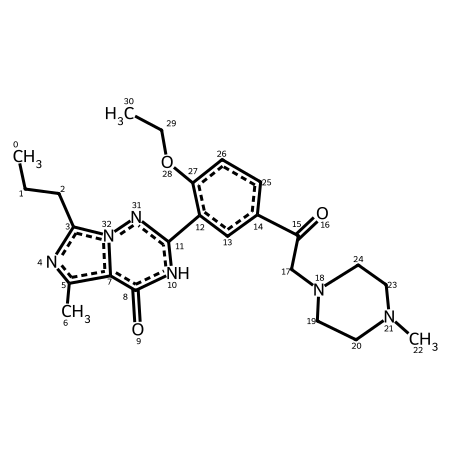 CCCc1nc(C)c2c(=O)[nH]c(-c3cc(C(=O)CN4CCN(C)CC4)ccc3OCC)nn12